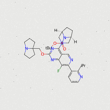 CC(C)c1ncccc1-c1ncc2c(N3C[C@H]4CC[C@@H](C3)N4C(=O)OC(C)(C)C)nc(OCC34CCCN3CCC4)nc2c1F